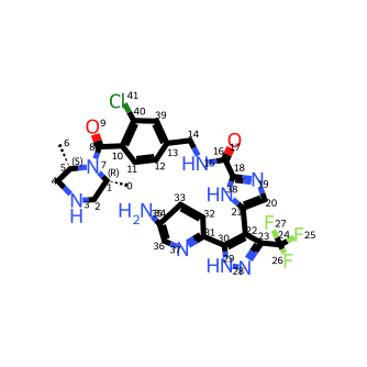 C[C@@H]1CNC[C@H](C)N1C(=O)c1ccc(CNC(=O)c2ncc(-c3c(C(F)(F)F)n[nH]c3-c3ccc(N)cn3)[nH]2)cc1Cl